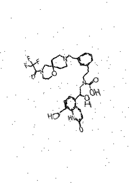 O=C(O)N(CCc1cccc(CN2CCC3(CC2)CN(C(=O)C(F)(F)F)CCO3)c1)CC(O)c1ccc(O)c2[nH]c(=O)ccc12